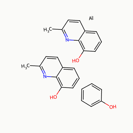 Cc1ccc2cccc(O)c2n1.Cc1ccc2cccc(O)c2n1.Oc1ccccc1.[Al]